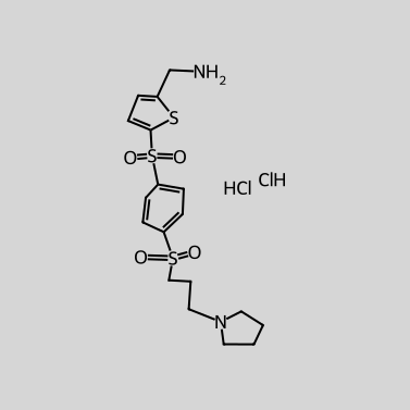 Cl.Cl.NCc1ccc(S(=O)(=O)c2ccc(S(=O)(=O)CCCN3CCCC3)cc2)s1